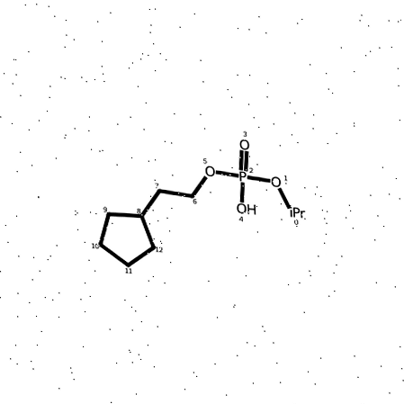 CC(C)OP(=O)(O)OCCC1CCCC1